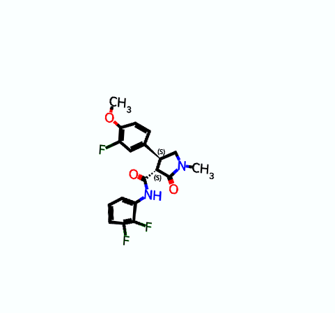 COc1ccc([C@H]2CN(C)C(=O)[C@@H]2C(=O)Nc2cccc(F)c2F)cc1F